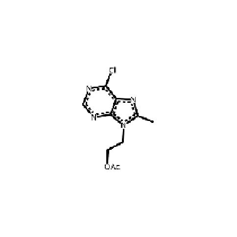 CC(=O)OCCn1c(C)nc2c(Cl)ncnc21